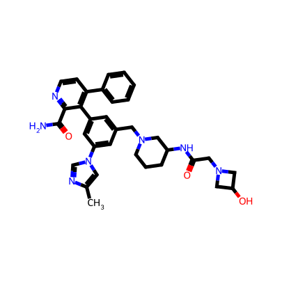 Cc1cn(-c2cc(CN3CCCC(NC(=O)CN4CC(O)C4)C3)cc(-c3c(-c4ccccc4)ccnc3C(N)=O)c2)cn1